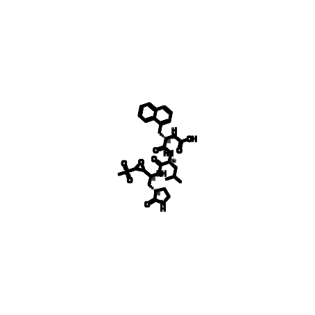 CC(C)C[C@H](NC(=O)[C@H](Cc1cccc2ccccc12)NC(=O)O)C(=O)N[C@@H](C[C@@H]1CCNC1=O)C1OC1S(C)(=O)=O